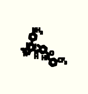 Cc1ccc(C(=O)Nc2cccc(C(F)(F)F)c2)cc1Nc1nc(-c2ccc(N)cc2)nc2c1cnn2C